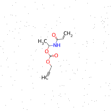 C#CCOC(=O)OC(C)NC(=O)C=C